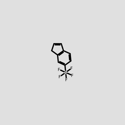 FS(F)(F)(F)(F)c1ccc2c(c1)CC=C2